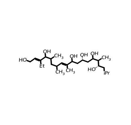 CC/C(=C\CO)C(O)C(C)CC(C)/C=C(\C)C(O)C[C@H](O)CC(O)C(C)[C@@H](O)CC(C)C